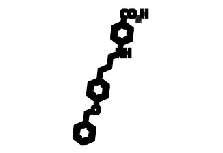 O=C(O)c1ccc(NCCCc2ccc(OCc3ccccc3)cc2)cc1